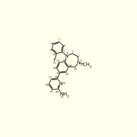 CN1CCN(c2ccccc2F)c2ccc(-c3cccc(N)n3)cc2C1